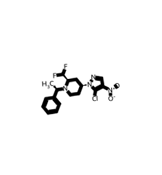 C[C@H](c1ccccc1)N1CC[C@@H](n2ncc([N+](=O)[O-])c2Cl)C[C@@H]1C(F)F